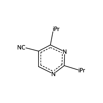 CC(C)c1ncc(C#N)c(C(C)C)n1